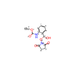 CC(C)(C)OC(=O)Nc1ccccc1C(O)ON1C(=O)CCC1=O